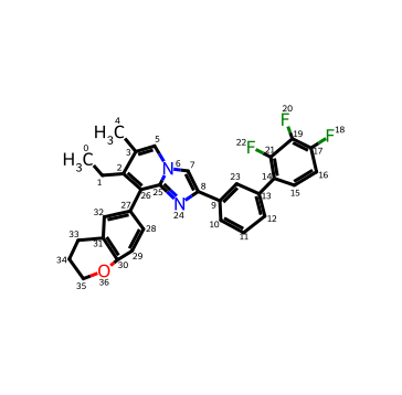 CCc1c(C)cn2cc(-c3cccc(-c4ccc(F)c(F)c4F)c3)nc2c1-c1ccc2c(c1)CCCO2